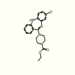 CCOC(=O)N1CCN(C2=Nc3cc(Cl)ccc3Nc3ccccc32)CC1